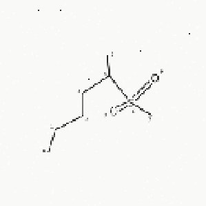 CCCCC(C)S(C)(=O)=O